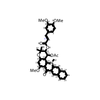 COc1ccc(/C=C/C(=O)OC2C(OC(C)=O)c3c(cc(OC)c4c(=O)c5cc6ccccc6cc5n(C)c34)OC2(C)C)cc1OC